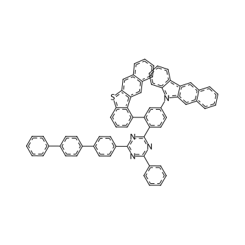 c1ccc(-c2ccc(-c3ccc(-c4nc(-c5ccccc5)nc(-c5ccc(-n6c7ccccc7c7cc8ccccc8cc76)cc5-c5cccc6sc7cc8ccccc8cc7c56)n4)cc3)cc2)cc1